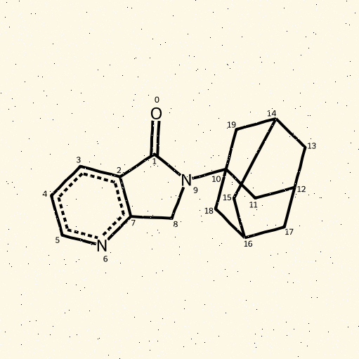 O=C1c2cccnc2CN1C12CC3CC(CC(C3)C1)C2